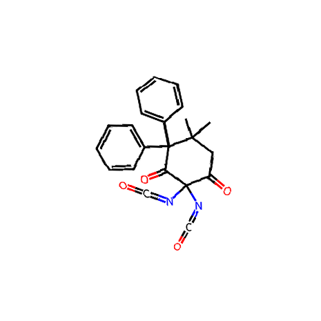 CC1(C)CC(=O)C(N=C=O)(N=C=O)C(=O)C1(c1ccccc1)c1ccccc1